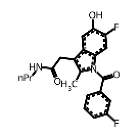 CCCNC(=O)Cc1c(C)n(C(=O)c2cccc(F)c2)c2cc(F)c(O)cc12